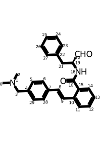 CN(C)Cc1ccc(/C=C/c2ccccc2C(=O)N[C@H](C=O)Cc2ccccc2)cc1